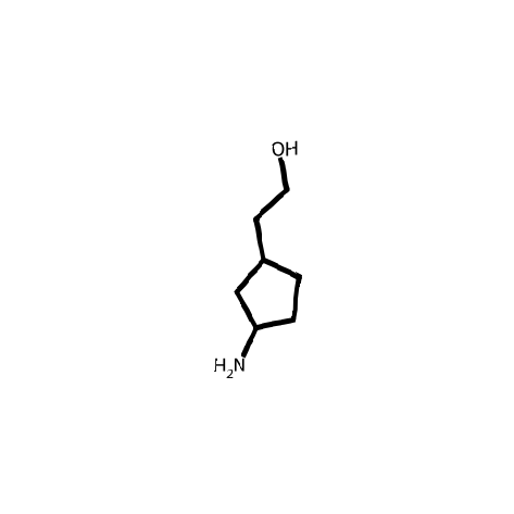 NC1CCC(CCO)C1